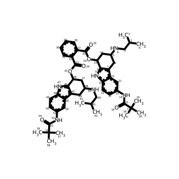 CC(C)CNC1Cc2c([nH]c3ccc(NC(=O)C(C)(C)C)cc23)C(OC(=O)c2ccccc2C(=O)OC2CC(NCC(C)C)Cc3c2[nH]c2ccc(NC(=O)C(C)(C)C)cc32)C1